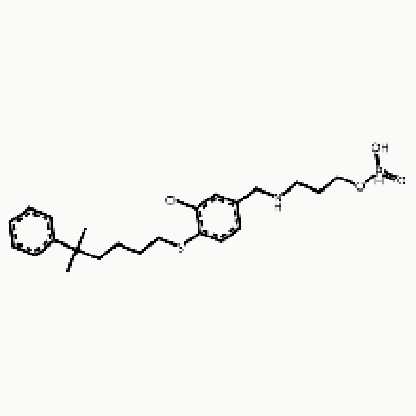 CC(C)(CCCCSc1ccc(CNCCCO[PH](=O)O)cc1Cl)c1ccccc1